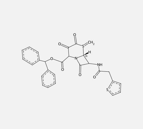 C=S1C(=O)C(=O)C(C(=O)OC(c2ccccc2)c2ccccc2)N2C(=O)C(NC(=O)Cc3cccs3)[C@H]21